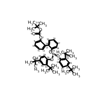 CC(C)(C)OC(=O)Oc1ccccc1-c1ccccc1OP(Oc1ccc(C(C)(C)C)cc1C(C)(C)C)Oc1ccc(C(C)(C)C)cc1C(C)(C)C